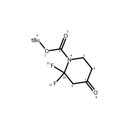 CC(C)(C)OC(=O)N1CCC(=O)CC1(F)F